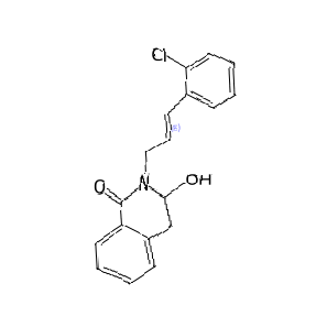 O=C1c2ccccc2CC(O)N1C/C=C/c1ccccc1Cl